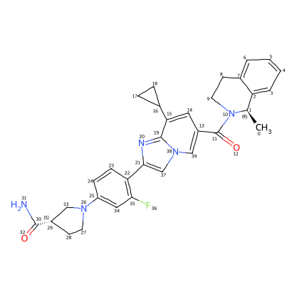 C[C@@H]1c2ccccc2CCN1C(=O)c1cc(C2CC2)c2nc(-c3ccc(N4CC[C@H](C(N)=O)C4)cc3F)cn2c1